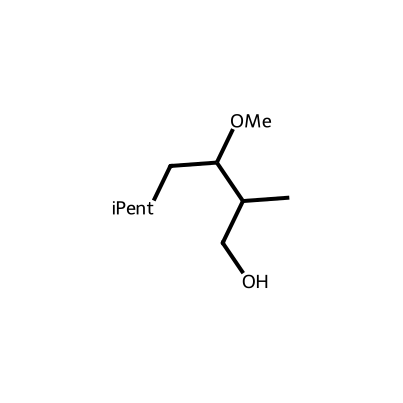 CCCC(C)CC(OC)C(C)CO